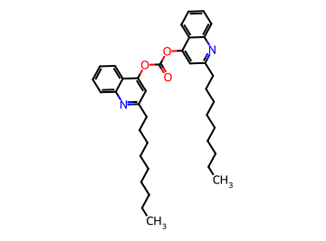 CCCCCCCCCc1cc(OC(=O)Oc2cc(CCCCCCCCC)nc3ccccc23)c2ccccc2n1